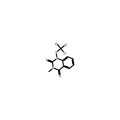 Cn1c(=O)c2ccccc2n(SC(Cl)(Cl)Cl)c1=S